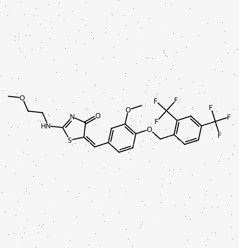 COCCNC1=NC(=O)/C(=C\c2ccc(OCc3ccc(C(F)(F)F)cc3C(F)(F)F)c(OC)c2)S1